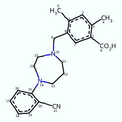 Cc1cc(C)c(C(=O)O)cc1CN1CCCN(c2ccccc2C#N)CC1